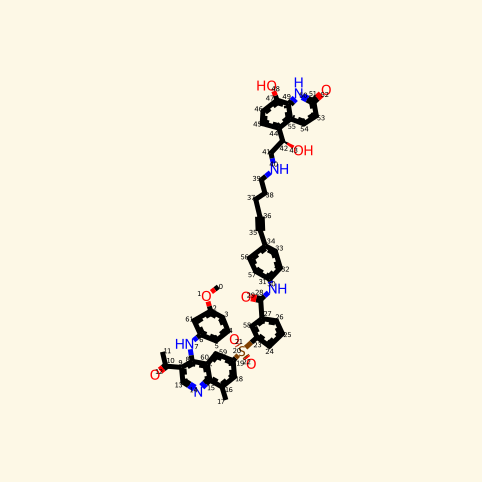 COc1cccc(Nc2c(C(C)=O)cnc3c(C)cc(S(=O)(=O)c4cccc(C(=O)Nc5ccc(C#CCCCNC[C@H](O)c6ccc(O)c7[nH]c(=O)ccc67)cc5)c4)cc23)c1